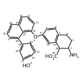 Cl.NC1CCc2ccc(Oc3cccc4cccc(-c5ccccc5)c34)cc2C1C(=O)O